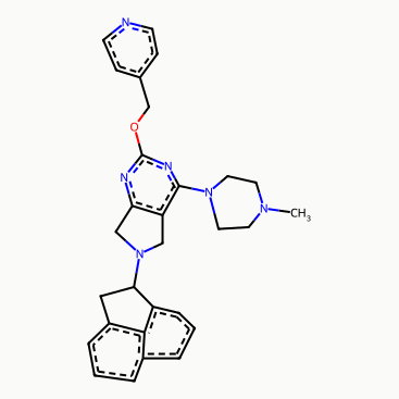 CN1CCN(c2nc(OCc3ccncc3)nc3c2CN(C2Cc4cccc5cccc2c45)C3)CC1